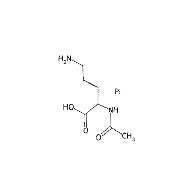 CC(=O)N[C@@H](CCCN)C(=O)O.[P]